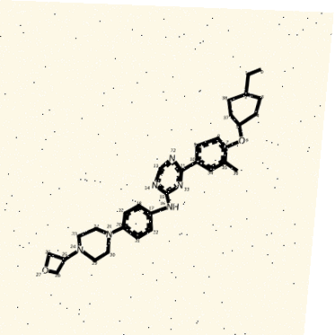 CCC1CCC(Oc2ccc(-c3ncnc(Nc4ccc(N5CCN(C6COC6)CC5)cc4)n3)cc2C)CC1